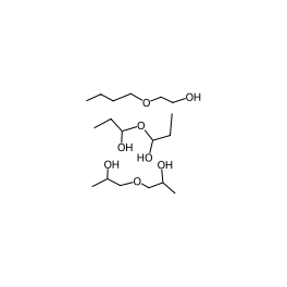 CC(O)COCC(C)O.CCC(O)OC(O)CC.CCCCOCCO